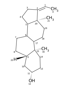 C/C=C1/CCC2C3CC[C@H]4C[C@@H](O)CC[C@]4(C)C3CC[C@]12C